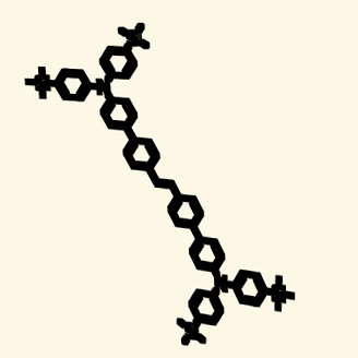 C[Si](C)(C)c1ccc(N(c2ccc(-c3ccc(/C=C/c4ccc(-c5ccc(N(c6ccc([Si](C)(C)C)cc6)c6ccc([Si](C)(C)C)cc6)cc5)cc4)cc3)cc2)c2ccc([Si](C)(C)C)cc2)cc1